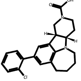 O=C(O)N1CC[C@H]2[C@@H](C1)c1cc(-c3ccccc3Cl)cc3c1N2CCCC3